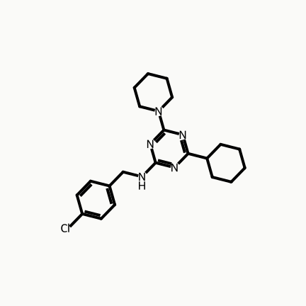 Clc1ccc(CNc2nc(C3CCCCC3)nc(N3CCCCC3)n2)cc1